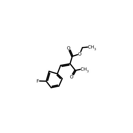 CCOC(=O)/C(=C/c1cccc(F)c1)C(C)=O